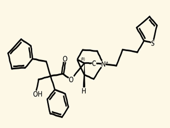 O=C(O[C@H]1C[N+]2(CCCc3cccs3)CCC1CC2)C(CO)(Cc1ccccc1)c1ccccc1